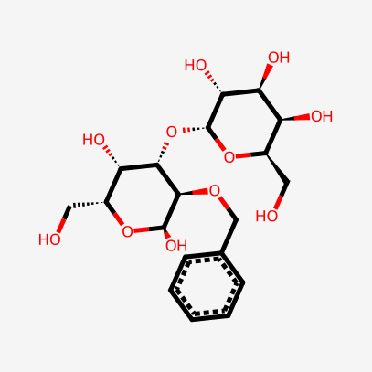 OC[C@H]1O[C@H](O[C@H]2[C@@H](O)[C@@H](CO)O[C@H](O)[C@@H]2OCc2ccccc2)[C@H](O)[C@@H](O)[C@H]1O